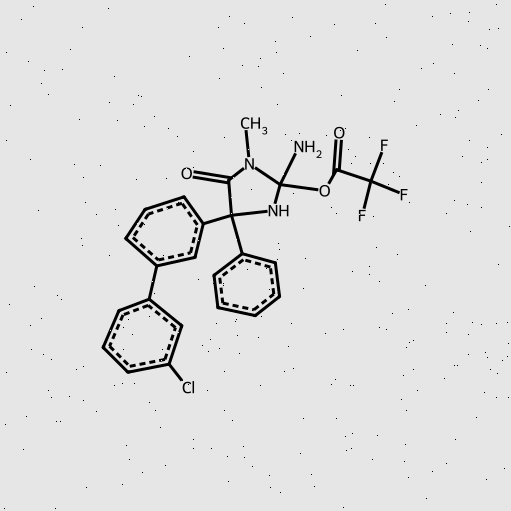 CN1C(=O)C(c2ccccc2)(c2cccc(-c3cccc(Cl)c3)c2)NC1(N)OC(=O)C(F)(F)F